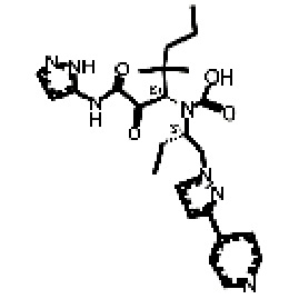 CCCC(C)(C)[C@@H](C(=O)C(=O)Nc1ccn[nH]1)N(C(=O)O)[C@@H](CC)Cn1ccc(-c2ccncc2)n1